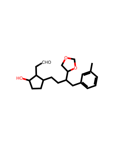 Cc1cccc(CC(CCC2CCC(O)C2CC=O)C2COCO2)c1